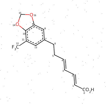 O=C(O)/C=C/C=C/CCc1cc2c(c(C(F)(F)F)c1)OCO2